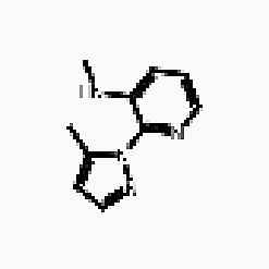 CNc1cccnc1-n1nccc1C